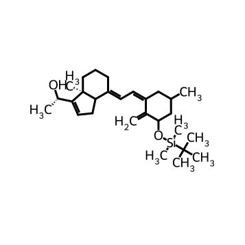 C=C1/C(=C\C=C2/CCC[C@]3(C)C([C@H](C)O)=CCC23)CC(C)CC1O[Si](C)(C)C(C)(C)C